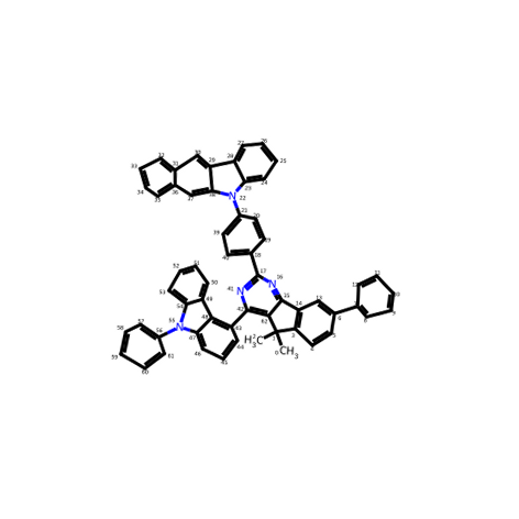 CC1(C)c2ccc(-c3ccccc3)cc2-c2nc(-c3ccc(-n4c5ccccc5c5cc6ccccc6cc54)cc3)nc(-c3cccc4c3c3ccccc3n4-c3ccccc3)c21